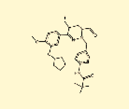 CCC1CC(C=O)N(Cc2ccc(NC(=O)C(C)(C)C)cc2)N=C1c1ccc(OC)c(OC2CCCC2)c1